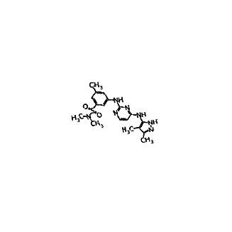 Cc1cc(Nc2nccc(Nc3[nH]nc(C)c3C)n2)cc(S(=O)(=O)N(C)C)c1